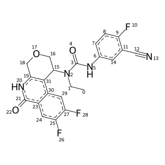 CCN(C(=O)Nc1ccc(F)c(C#N)c1)C1COCc2[nH]c(=O)c3cc(F)c(F)cc3c21